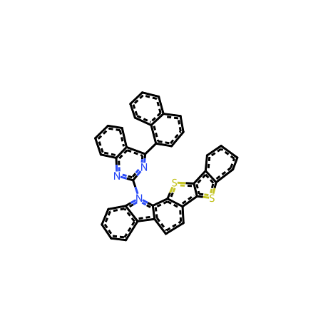 c1ccc2c(-c3nc(-n4c5ccccc5c5ccc6c7sc8ccccc8c7sc6c54)nc4ccccc34)cccc2c1